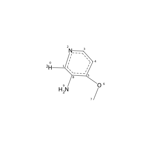 [2H]c1nccc(OC)c1N